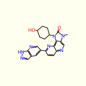 Cn1c(=O)n(C2CCC(O)CC2)c2c3nc(-c4cnc5[nH]ncc5c4)ccc3ncc21